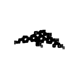 C=CC(=O)Nc1ccc(OC)c(Nc2ncc(Cl)c(-c3cn(C)c4cc(N5CCN(CCF)CC5)ccc34)n2)c1